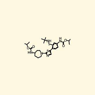 CC(C)OC(=O)Nc1ccc(-c2cnc(N3CCCC(NC(=O)OC(C)C)CC3)s2)c(SNC(C)(C)C)c1